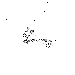 CC(C)N(C(=O)c1cc(F)ccc1Oc1cncnc1N1CC2(CN(CC[C@H]3CC[C@H](NC(=O)CC(C)(C)C)CC3)C2)C1)C(C)C